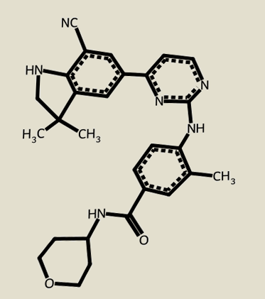 Cc1cc(C(=O)NC2CCOCC2)ccc1Nc1nccc(-c2cc(C#N)c3c(c2)C(C)(C)CN3)n1